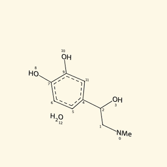 CNCC(O)c1ccc(O)c(O)c1.O